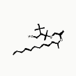 C=C(COC(C)(C)C(CO)C(C)(C)C)OC(C)CCCCCCCCCC